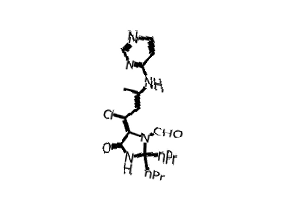 CCCC1(CCC)NC(=O)/C(=C(Cl)/C=C(\C)Nc2ccncn2)N1C=O